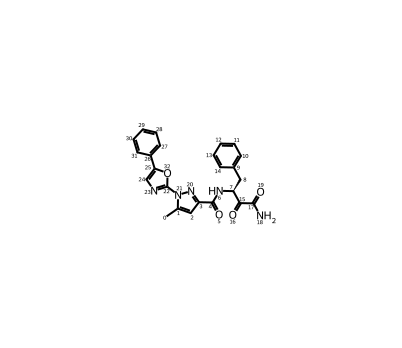 Cc1cc(C(=O)N[C@@H](Cc2ccccc2)C(=O)C(N)=O)nn1-c1ncc(-c2ccccc2)o1